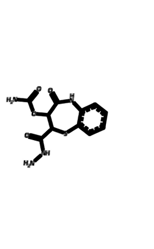 NNC(=O)C1Sc2ccccc2NC(=O)C1OC(N)=O